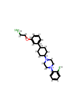 Fc1ccccc1N1CCN(C2CCC(c3cccc(OCC[18F])c3)CC2)CC1